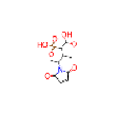 CC(C(C)N1C(=O)C=CC1=O)C(C(=O)O)S(=O)(=O)O